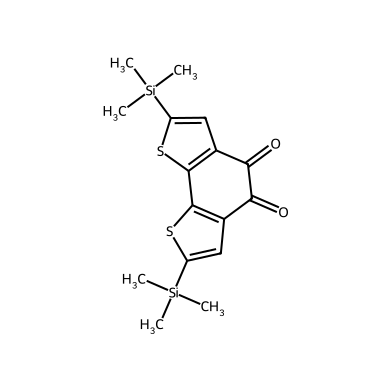 C[Si](C)(C)c1cc2c(s1)-c1sc([Si](C)(C)C)cc1C(=O)C2=O